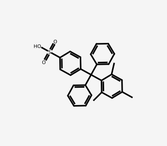 Cc1cc(C)c(C(c2ccccc2)(c2ccccc2)c2ccc(S(=O)(=O)O)cc2)c(C)c1